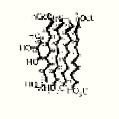 CCCCCCCCC=CCCCCCCCC(=O)O.CCCCCCCCC=CCCCCCCCC(=O)O.CCCCCCCCC=CCCCCCCCC(=O)O.CCCCCCCCC=CCCCCCCCC(=O)O.OCC(O)CO